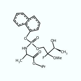 COC(F)(COP(=O)(NC(C)C(=O)OC(C)C)Oc1cccc2ccccc12)[C@H](C)O